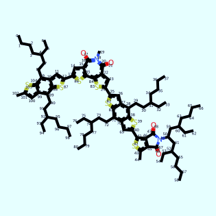 CCCCC(CC)CCc1c2cc(-c3cc4c(=O)n(C)c(=O)c5cc(-c6cc7c(CCC(CC)CCCC)c8sc(-c9sc(C)c%10c9C(=O)N(C(CC(CC)CCCC)CC(CC)CCCC)C%10=O)cc8c(CCC(CC)CCCC)c7s6)sc5c4s3)sc2c(CCC(CC)CCCC)c2cc(C)sc12